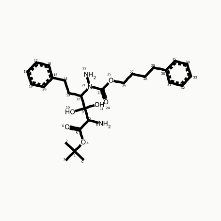 CC(C)(C)OC(=O)C(N)C(O)(O)C(CCc1ccccc1)N(N)C(=O)OCCCCc1ccccc1